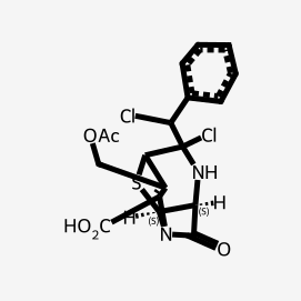 CC(=O)OCC1=C(C(=O)O)N2C(=O)[C@@H]3NC(Cl)(C(Cl)c4ccccc4)C1S[C@@H]32